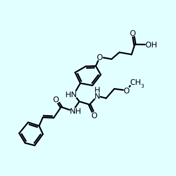 COCCNC(=O)C(NC(=O)/C=C/c1ccccc1)Nc1ccc(OCCCC(=O)O)cc1